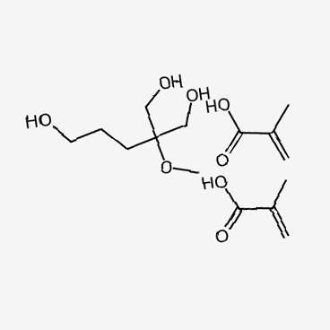 C=C(C)C(=O)O.C=C(C)C(=O)O.COC(CO)(CO)CCCO